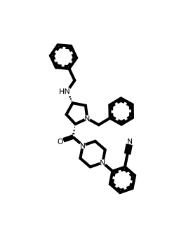 N#Cc1ccccc1N1CCN(C(=O)[C@@H]2C[C@H](NCc3ccccc3)CN2Cc2ccccc2)CC1